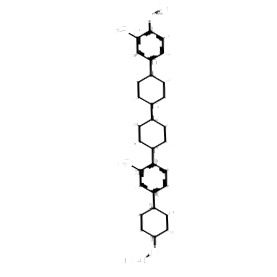 CCCCOC1CCC(c2ccc(C3CCC(C4CCC(c5ccc(OCC)c(F)c5)CC4)CC3)c(F)c2)CC1